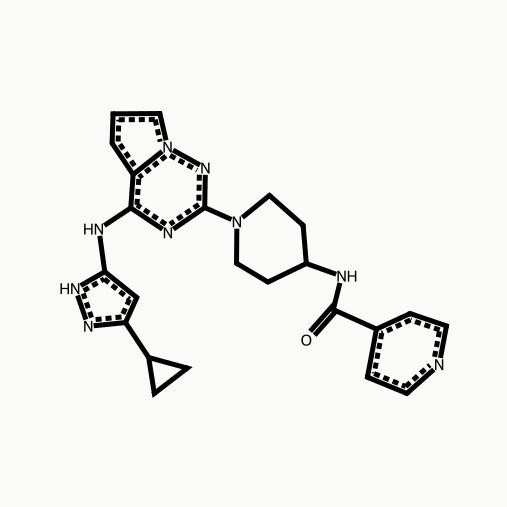 O=C(NC1CCN(c2nc(Nc3cc(C4CC4)n[nH]3)c3cccn3n2)CC1)c1ccncc1